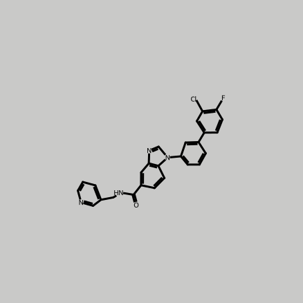 O=C(NCc1cccnc1)c1ccc2c(c1)ncn2-c1cccc(-c2ccc(F)c(Cl)c2)c1